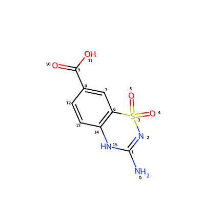 NC1=NS(=O)(=O)c2cc(C(=O)O)ccc2N1